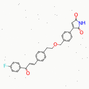 O=C1C=C(c2ccc(COCCc3ccc(C=CC(=O)c4ccc(F)cc4)cc3)cc2)C(=O)N1